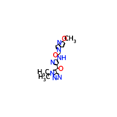 COc1ccc2c(ccn2CC(=O)Nc2cncc(C(=O)c3cn(C(C)C)c4ncncc34)c2)n1